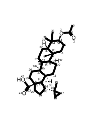 CC(=O)O[C@H]1CC[C@]2(C)[C@H]3CCC4[C@H]5[C@H](C6(C)CC6)CC[C@]5(C(=O)O)CC[C@@]4(C)[C@]3(C)CC[C@H]2C1(C)C